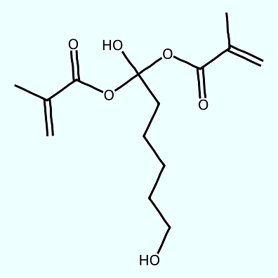 C=C(C)C(=O)OC(O)(CCCCCO)OC(=O)C(=C)C